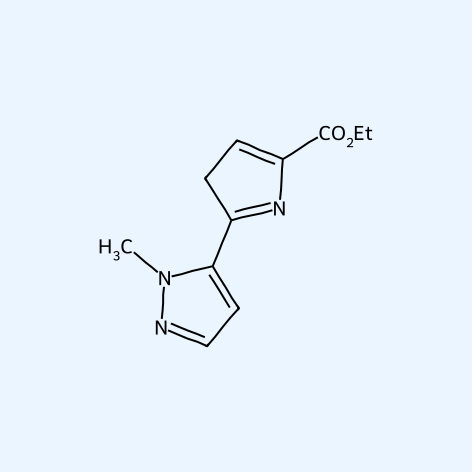 CCOC(=O)C1=CCC(c2ccnn2C)=N1